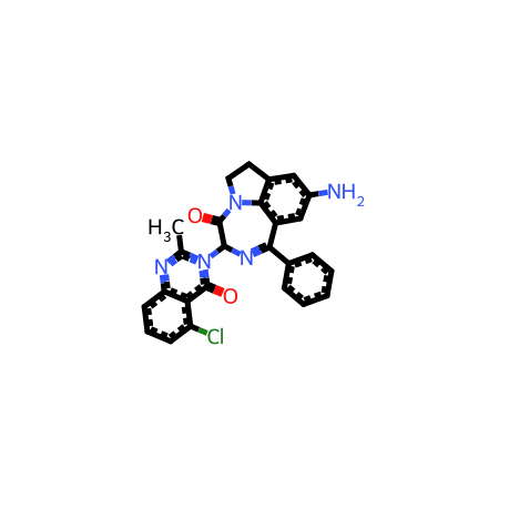 Cc1nc2cccc(Cl)c2c(=O)n1C1N=C(c2ccccc2)c2cc(N)cc3c2N(CC3)C1=O